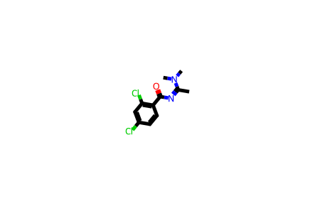 CC(=NC(=O)c1ccc(Cl)cc1Cl)N(C)C